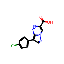 O=C(O)c1cn2ncc(-c3ccc(Cl)cc3)c2nn1